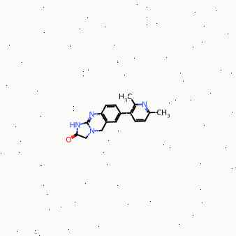 Cc1ccc(-c2ccc3c(c2)CN2CC(=O)NC2=N3)c(C)n1